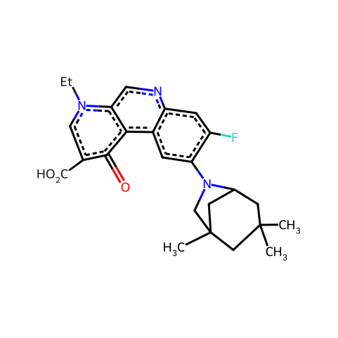 CCn1cc(C(=O)O)c(=O)c2c3cc(N4CC5(C)CC4CC(C)(C)C5)c(F)cc3ncc21